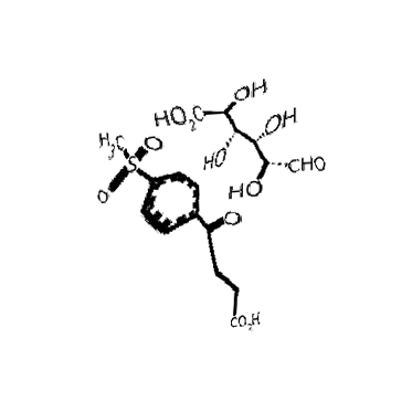 CS(=O)(=O)c1ccc(C(=O)CCC(=O)O)cc1.O=C[C@H](O)[C@@H](O)[C@H](O)[C@H](O)C(=O)O